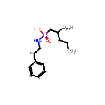 O=C(O)CCC(CP(=O)(O)NCCc1ccccc1)C(=O)O